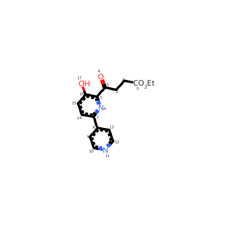 CCOC(=O)CCC(=O)c1nc(-c2ccncc2)ccc1O